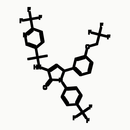 CC(C)(NC1=CC(c2cccc(OCC(F)(F)F)c2)N(c2ccc(C(F)(F)F)cc2)C1=O)c1ccc(C(F)(F)F)nc1